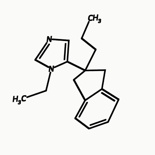 CCCC1(c2cncn2CC)Cc2ccccc2C1